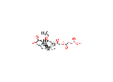 CCO[C@@H]1C[C@]2(C)[C@H](C(=O)COC(=O)CCC(=O)O)CC[C@H]2[C@@H]2CCC3=CC(=O)C(O)C[C@]3(C)[C@H]21